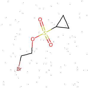 O=S(=O)(OCCBr)C1CC1